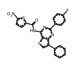 O=C(Nc1nc(-c2ccc(F)cc2)nc2c(-c3ccccc3)csc12)c1ccc([N+](=O)[O-])s1